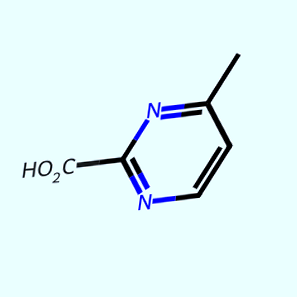 Cc1ccnc(C(=O)O)n1